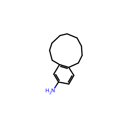 Nc1ccc2c(c1)CCCCCCCCC2